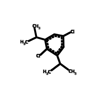 CC(C)c1cc(Cl)cc(C(C)C)c1Cl